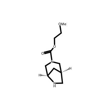 COCCOC(=O)N1C[C@H]2CN[C@H](C2)C1